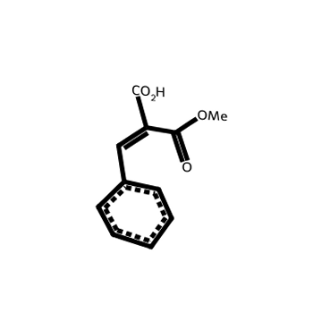 COC(=O)C(=Cc1ccccc1)C(=O)O